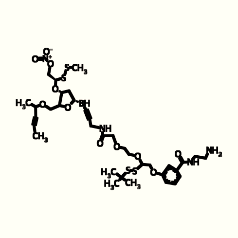 CC#CC(C)OCC1O[C@@H](BC#CCNC(=O)COCCOC(COc2cccc(C(=O)NCCN)c2)SSC(C)(C)C)C[C@H]1O[C@@H](CO[N+](=O)[O-])SSC